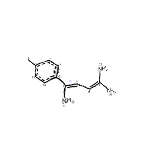 Cc1ccc(/C(N)=C/C=C(N)N)cc1